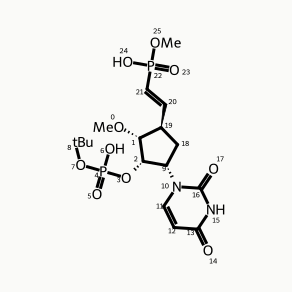 CO[C@H]1[C@@H](OP(=O)(O)OC(C)(C)C)[C@@H](n2ccc(=O)[nH]c2=O)C[C@@H]1/C=C/P(=O)(O)OC